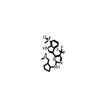 CN(C)CC1CCCC1Nc1ncc(C(F)(F)F)c(-c2c[nH]c3c(P(C)(C)=O)cccc23)n1